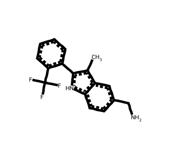 Cc1c(-c2ccccc2C(F)(F)F)[nH]c2ccc(CN)cc12